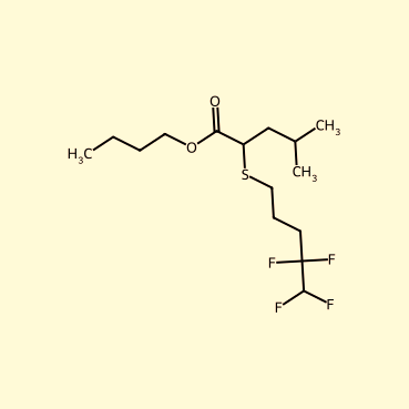 CCCCOC(=O)C(CC(C)C)SCCCC(F)(F)C(F)F